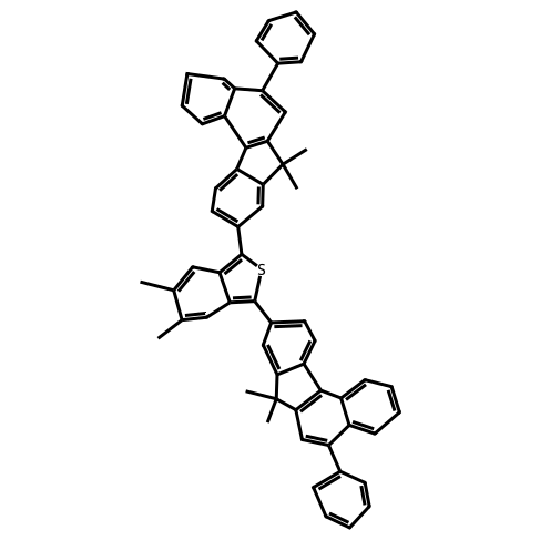 Cc1cc2c(-c3ccc4c(c3)C(C)(C)c3cc(-c5ccccc5)c5ccccc5c3-4)sc(-c3ccc4c(c3)C(C)(C)c3cc(-c5ccccc5)c5ccccc5c3-4)c2cc1C